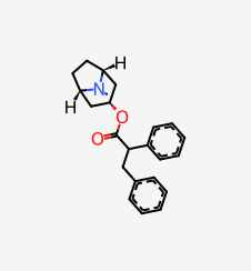 CN1[C@@H]2CC[C@H]1C[C@H](OC(=O)C(Cc1ccccc1)c1ccccc1)C2